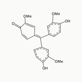 COC1=CC(=C(c2ccc(O)c(OC)c2)c2ccc(O)c(OC)c2)C=CC1=O